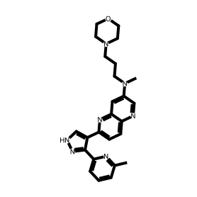 Cc1cccc(-c2n[nH]cc2-c2ccc3ncc(N(C)CCCN4CCOCC4)cc3n2)n1